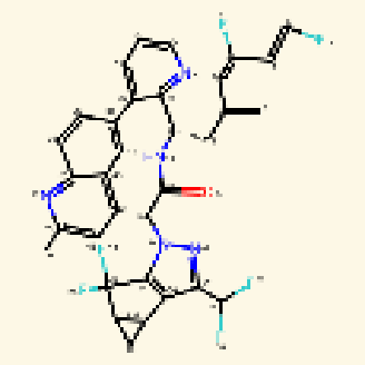 C=C(/C=C(F)\C=C\F)C[C@H](NC(=O)Cn1nc(C(F)F)c2c1C(F)(F)C1CC21)c1ncccc1-c1ccc2nc(C)ccc2c1